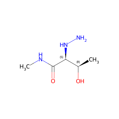 CNC(=O)[C@@H](NN)[C@@H](C)O